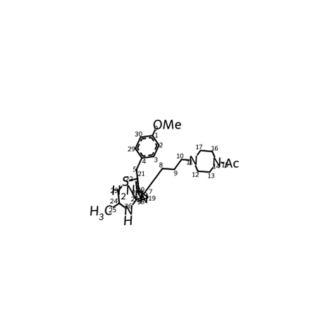 COc1ccc(Cn2c(CCCN3CCN(C(C)=O)CC3)nc3/c2=C/SCC(C)N/C=3N)cc1